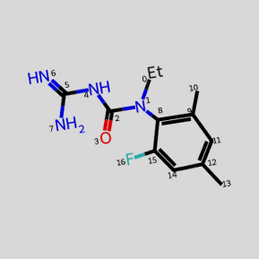 CCN(C(=O)NC(=N)N)c1c(C)cc(C)cc1F